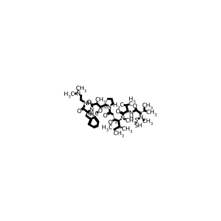 CC[C@H](C)[C@@H]([C@@H](CC(=O)N1CCC[C@H]1[C@H](OC)[C@@H](C)C(=O)N[C@@H](Cc1ccccc1)C(=O)NCCN(C)C)OC)N(C)C(=O)[C@@H](NC(=O)[C@H](C(C)C)N(C)SS)C(C)C